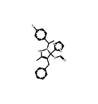 CC1=C(Cc2ccccc2)C(OC=O)(c2ncco2)N(C(C)c2ccc(F)cc2)N1